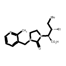 CC[C@@H](CC(C)(C)C)[C@@H](C(=O)O)N1CCN(Cc2cccnc2C)C1=O